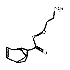 O=C(O)CCOOC(=O)C1CC2C=CC1C2